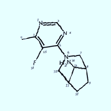 Cc1ncnc(N2CC3CCC(C2)C3N)c1F